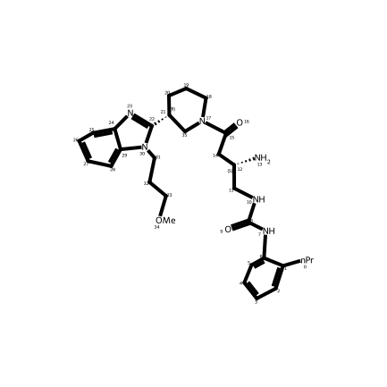 CCCc1ccccc1NC(=O)NC[C@@H](N)CC(=O)N1CCC[C@@H](c2nc3ccccc3n2CCCOC)C1